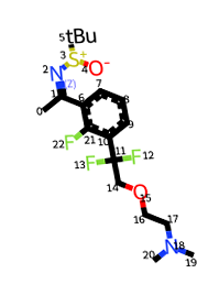 C/C(=N/[S+]([O-])C(C)(C)C)c1cccc(C(F)(F)COCCN(C)C)c1F